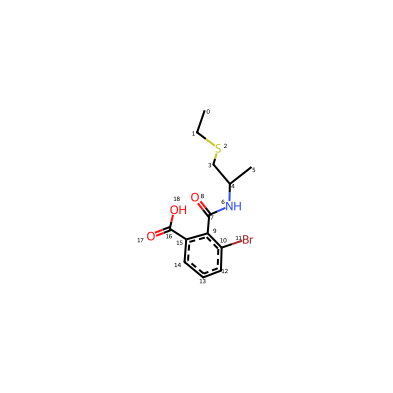 CCSCC(C)NC(=O)c1c(Br)cccc1C(=O)O